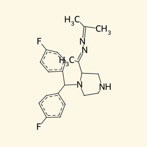 CC(C)=N/N=C(\C)C1CNCCN1C(c1ccc(F)cc1)c1ccc(F)cc1